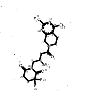 N[C@H](CC(=O)N1CCc2c(nc(C(F)(F)F)nc2C(F)(F)F)C1)CN1C(=O)CCC(F)(F)C1=O